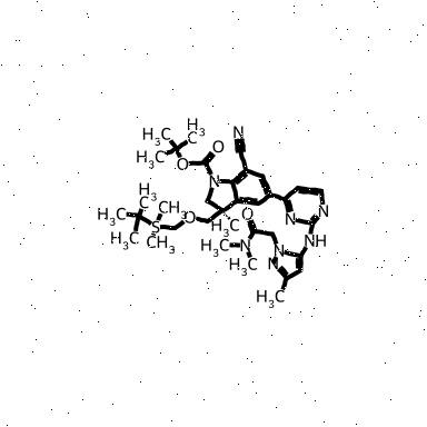 Cc1cc(Nc2nccc(-c3cc(C#N)c4c(c3)[C@@](C)(COCS(C)(C)C(C)(C)C)CN4C(=O)OC(C)(C)C)n2)n(CC(=O)N(C)C)n1